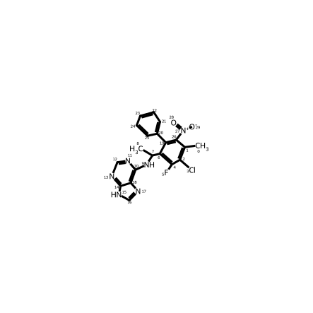 Cc1c(Cl)c(F)c(C(C)Nc2ncnc3[nH]cnc23)c(-c2ccccc2)c1[N+](=O)[O-]